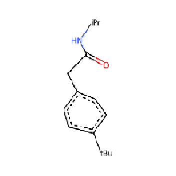 CC(C)NC(=O)Cc1ccc(C(C)(C)C)cc1